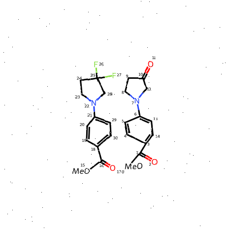 COC(=O)c1ccc(N2CCC(=O)C2)cc1.COC(=O)c1ccc(N2CCC(F)(F)C2)cc1